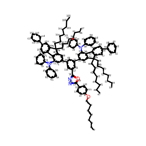 CCCCCCCCOc1ccc(-c2nnc(-c3cc(-c4cc(N(c5ccccc5)c5ccccc5)c5c(c4)C(CCCCCCCC)(CCCCCCCC)c4cc(-c6ccccc6)ccc4-5)cc(-c4cc(N(c5ccccc5)c5ccccc5)c5c(c4)C(CCCCCCCC)(CCCCCCCC)c4cc(-c6ccccc6)ccc4-5)c3)o2)cc1